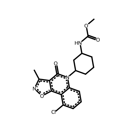 COC(=O)NC1CCCC(n2c(=O)c3c(C)noc3c3c(Cl)cccc32)C1